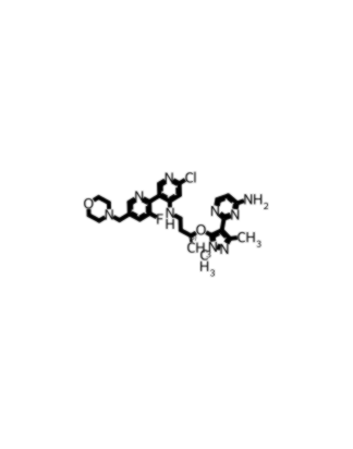 Cc1nn(C)c(O[C@@H](C)CCNc2cc(Cl)ncc2-c2ncc(CN3CCOCC3)cc2F)c1-c1nccc(N)n1